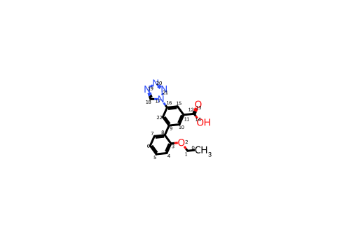 CCOc1ccccc1-c1cc(C(=O)O)cc(-n2cnnn2)c1